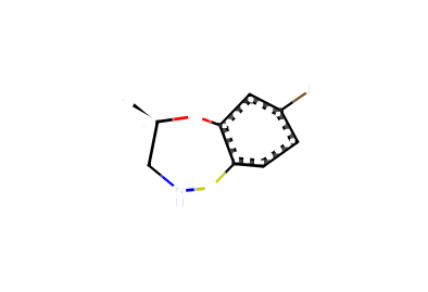 C[C@@H]1CNSc2ccc(Br)cc2O1